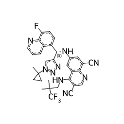 CC1(n2cc([C@@H](Nc3cc(C#N)c4ncc(C#N)c(NCC(C)(C)C(F)(F)F)c4c3)c3ccc(F)c4ncccc34)nn2)CC1